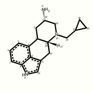 N[C@H]1CC2c3cccc4[nH]cc(c34)C[C@H]2N(CC2CC2)C1